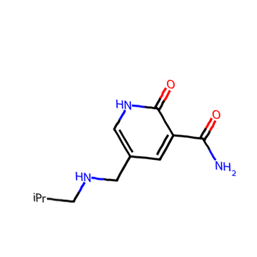 CC(C)CNCc1c[nH]c(=O)c(C(N)=O)c1